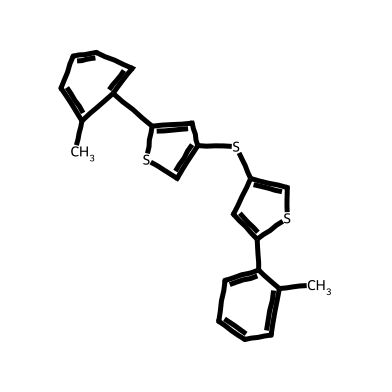 Cc1ccccc1-c1cc(Sc2csc(-c3ccccc3C)c2)cs1